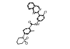 Cc1cc(N2CCCCS2(=O)=O)ccc1C(=O)Nc1ccc(Cl)c(-c2ncc3ccccc3n2)c1